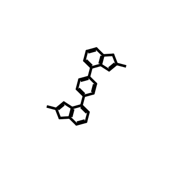 CC1=Cc2c(cccc2-c2ccc(-c3cccc4c3C=C(C)C4)cc2)C1